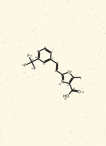 Cc1oc(C=Cc2cccc(C(F)(F)F)c2)nc1C(=O)O